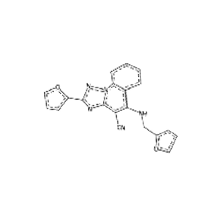 N#Cc1c(NCc2ccco2)c2ccccc2n2nc(-c3ccco3)nc12